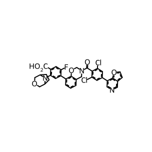 O=C(O)c1cc(F)c(-c2cccc3c2OCN(C(=O)c2c(Cl)cc(-c4cncc5ccoc45)cc2Cl)C3)cc1N1C2CCC1COC2